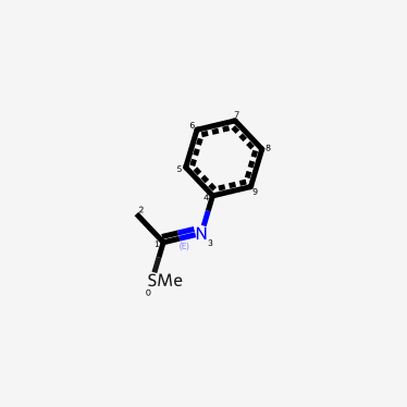 CS/C(C)=N/c1ccccc1